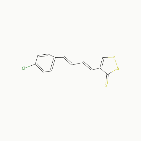 S=c1sscc1C=CC=Cc1ccc(Cl)cc1